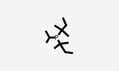 CCC(C)(C)P(C(C)C)C(C)(C)CC